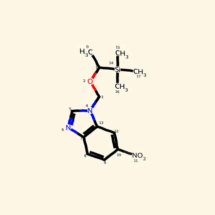 CC(OCn1cnc2ccc([N+](=O)[O-])cc21)[Si](C)(C)C